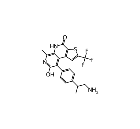 Cc1nc(O)c(-c2ccc(C(C)CN)cc2)c2c1[nH]c(=O)c1sc(C(F)(F)F)cc12